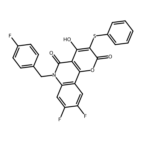 O=c1oc2c(c(O)c1Sc1ccccc1)c(=O)n(Cc1ccc(F)cc1)c1cc(F)c(F)cc21